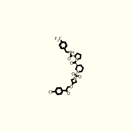 O=C(COC1CN(S(=O)(=O)N2CCC[C@H](C(=O)N3CCC[C@@H]3C(=O)NCc3ccc(C(F)(F)F)cc3)C2)C1)c1ccc(Cl)cc1